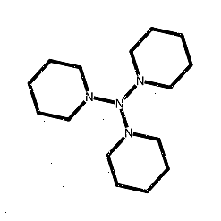 C1CCN(N(N2CCCCC2)N2CCCCC2)CC1